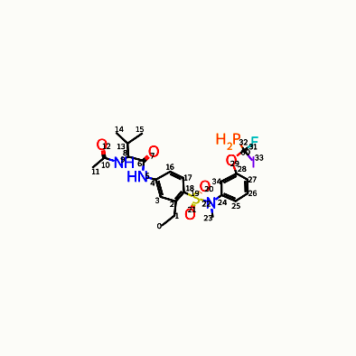 CCc1cc(NC(=O)C(NC(C)=O)C(C)C)ccc1S(=O)(=O)N(C)c1cccc(OC(F)(P)I)c1